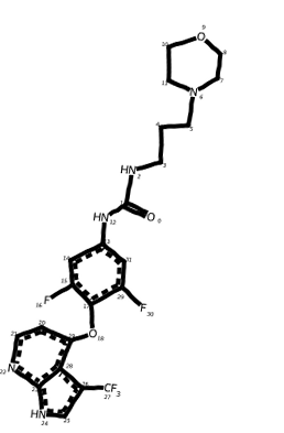 O=C(NCCCN1CCOCC1)Nc1cc(F)c(Oc2ccnc3[nH]cc(C(F)(F)F)c23)c(F)c1